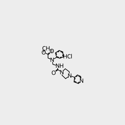 COC(=O)CN(CNC(=O)N1CCN(c2ccncc2)CC1)c1ccccc1.Cl